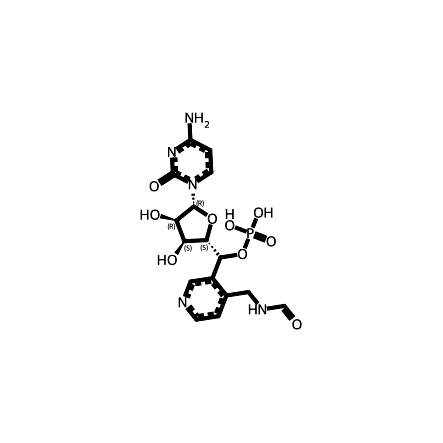 Nc1ccn([C@@H]2O[C@H](C(OP(=O)(O)O)c3cnccc3CNC=O)[C@@H](O)[C@H]2O)c(=O)n1